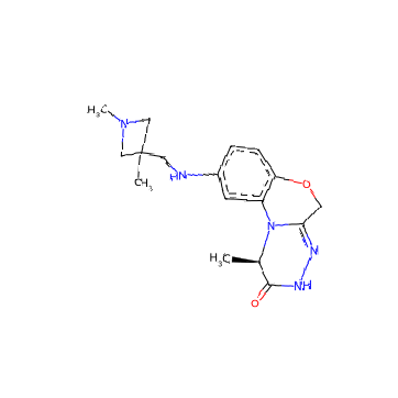 C[C@@H]1C(=O)NN=C2COc3ccc(NCC4(C)CN(C)C4)cc3N21